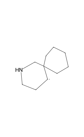 [CH]1CCNCC12CCCCC2